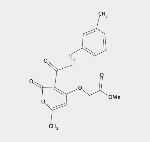 COC(=O)COc1cc(C)oc(=O)c1C(=O)/C=C/c1cccc(C)c1